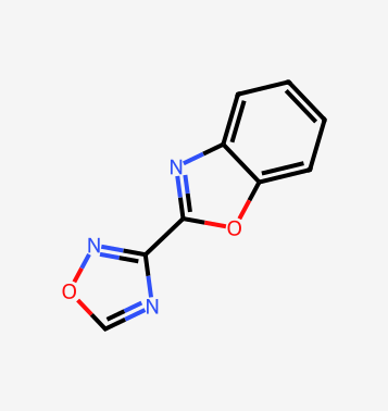 c1ccc2oc(-c3ncon3)nc2c1